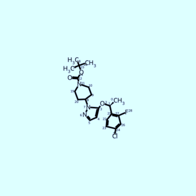 C[C@H](Oc1ccnn1C1CCN(C(=O)OC(C)(C)C)CC1)c1ccc(Cl)cc1F